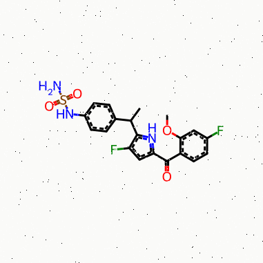 COc1cc(F)ccc1C(=O)c1cc(F)c(C(C)c2ccc(NS(N)(=O)=O)cc2)[nH]1